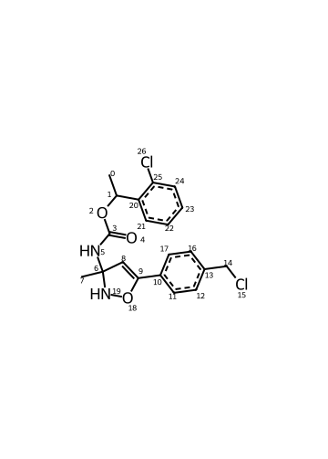 CC(OC(=O)NC1(C)C=C(c2ccc(CCl)cc2)ON1)c1ccccc1Cl